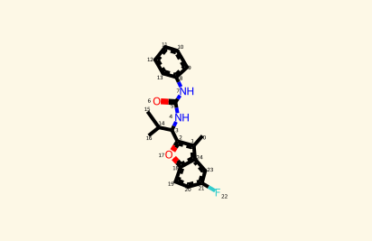 Cc1c(C(NC(=O)Nc2ccccc2)C(C)C)oc2ccc(F)cc12